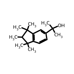 CC1C(C)(C)c2ccc(C(C)(C)O)cc2C1(C)C